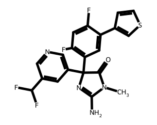 CN1C(=O)C(c2cncc(C(F)F)c2)(c2cc(-c3ccsc3)c(F)cc2F)N=C1N